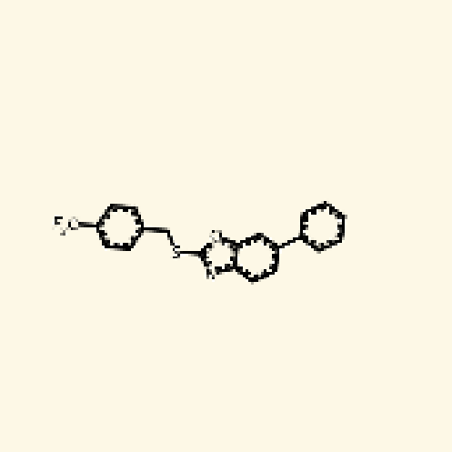 FC(F)(F)c1ccc(CSc2nc3ccc(-c4ccccc4)cc3o2)cc1